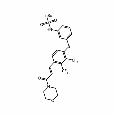 CCCCS(=O)(=O)Nc1cccc(Sc2ccc(/C=C/C(=O)N3CCOCC3)c(C(F)(F)F)c2C(F)(F)F)c1